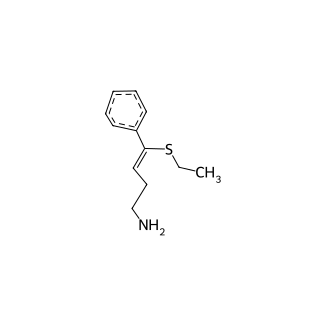 CCSC(=CCCN)c1ccccc1